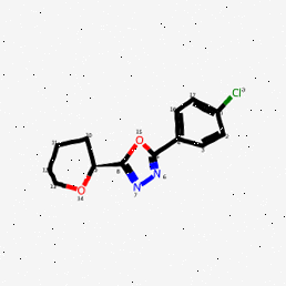 Clc1ccc(-c2nnc([C@@H]3CCCCO3)o2)cc1